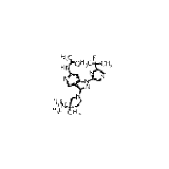 CC(=O)Nc1cc2c(cn1)c(N1CC[C@](C)(N(C)C)C1)nn2-c1cncc(C(C)(C)F)n1